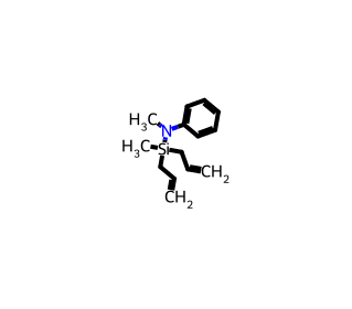 C=CC[Si](C)(CC=C)N(C)c1ccccc1